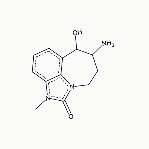 Cn1c(=O)n2c3c(cccc31)C(O)C(N)CC2